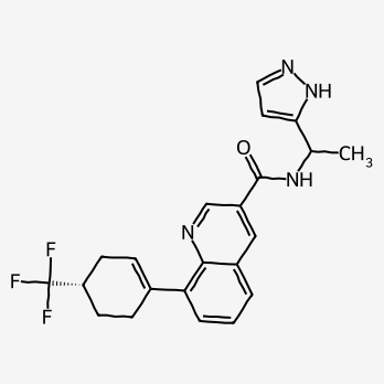 CC(NC(=O)c1cnc2c(C3=CC[C@@H](C(F)(F)F)CC3)cccc2c1)c1ccn[nH]1